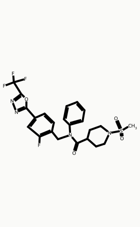 CS(=O)(=O)N1CCC(C(=O)N(Cc2ccc(-c3nnc(C(F)(F)F)o3)cc2F)c2ccccc2)CC1